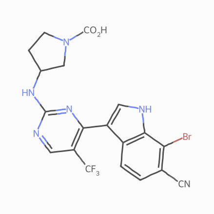 N#Cc1ccc2c(-c3nc(NC4CCN(C(=O)O)C4)ncc3C(F)(F)F)c[nH]c2c1Br